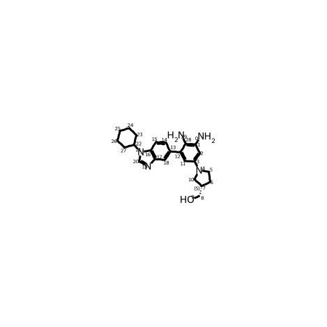 Nc1cc(N2CC[C@H](CO)C2)cc(-c2ccc3c(c2)ncn3C2CCCCC2)c1N